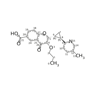 CCCOc1c([C@@H]2C[C@H]2c2ccc(C)cn2)oc2ccc(C(=O)O)cc2c1=O